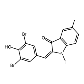 O=C1C(=Cc2cc(Br)c(O)c(Br)c2)N(I)c2ccc(I)cc21